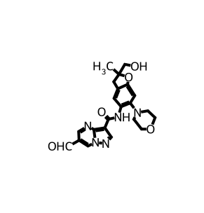 CC1(CO)Cc2cc(NC(=O)c3cnn4cc(C=O)cnc34)c(N3CCOCC3)cc2O1